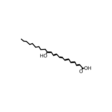 CCCCCCCCC/C(O)=C/C=C/C=C/C=C/C=C/C=C/C(=O)O